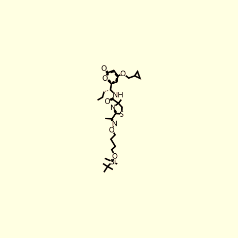 CCC[C@@H](NC(=O)C1(C)CSC(/C(C)=N/OCCCCO[Si](C)(C)C(C)(C)C)=N1)c1cc(OCC2CC2)cc(=O)o1